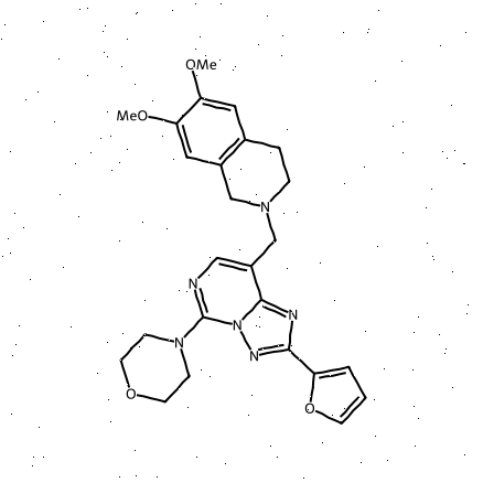 COc1cc2c(cc1OC)CN(Cc1cnc(N3CCOCC3)n3nc(-c4ccco4)nc13)CC2